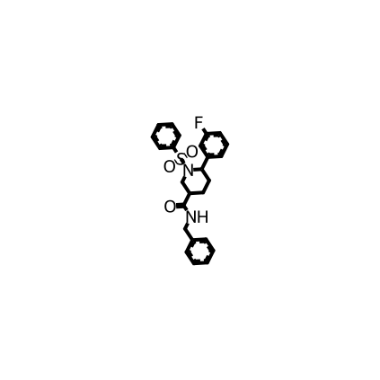 O=C(NCc1ccccc1)C1CCC(c2cccc(F)c2)N(S(=O)(=O)c2ccccc2)C1